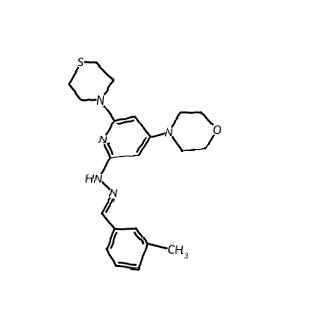 Cc1cccc(C=NNc2cc(N3CCOCC3)cc(N3CCSCC3)n2)c1